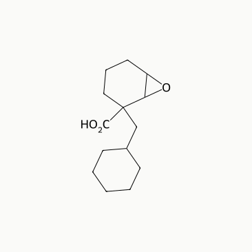 O=C(O)C1(CC2CCCCC2)CCCC2OC21